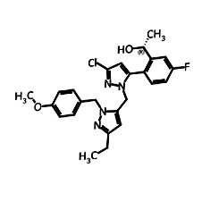 CCc1cc(Cn2nc(Cl)cc2-c2ccc(F)cc2[C@@H](C)O)n(Cc2ccc(OC)cc2)n1